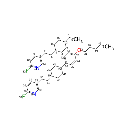 CCC1CCC(CCc2ccc(F)nc2)CC1.CCCCCOc1ccc(C2CCC(CCc3ccc(F)nc3)CC2)cc1